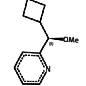 CO[C@@H](c1ccccn1)C1CCC1